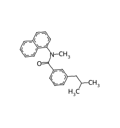 CC(C)Cc1cccc(C(=O)N(C)c2cccc3ccccc23)c1